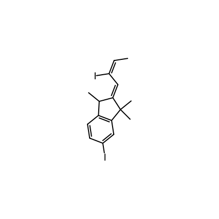 C/C=C(I)\C=C1/C(C)c2ccc(I)cc2C1(C)C